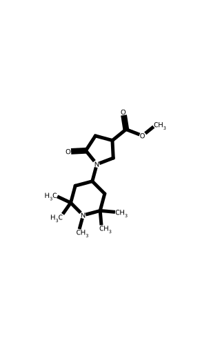 COC(=O)C1CC(=O)N(C2CC(C)(C)N(C)C(C)(C)C2)C1